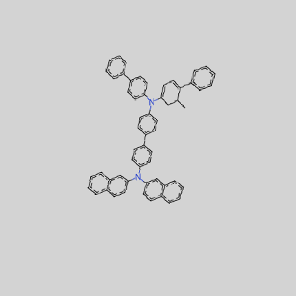 CC1CC(N(c2ccc(-c3ccccc3)cc2)c2ccc(-c3ccc(N(c4ccc5ccccc5c4)c4ccc5ccccc5c4)cc3)cc2)=CC=C1c1ccccc1